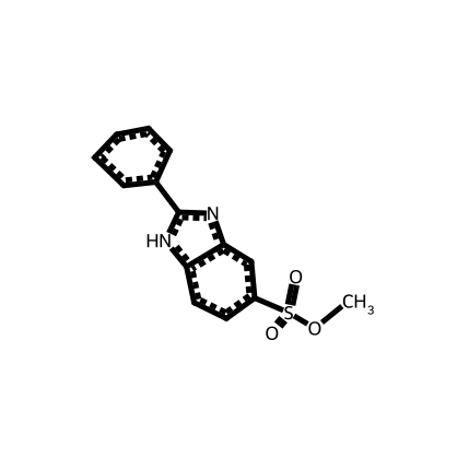 COS(=O)(=O)c1ccc2[nH]c(-c3ccccc3)nc2c1